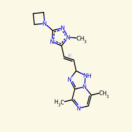 CC1=CN=C(C)C2=NC(/C=C/c3nc(N4CCC4)nn3C)NN12